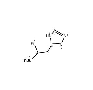 CCCCC(CC)Cc1nnc[nH]1